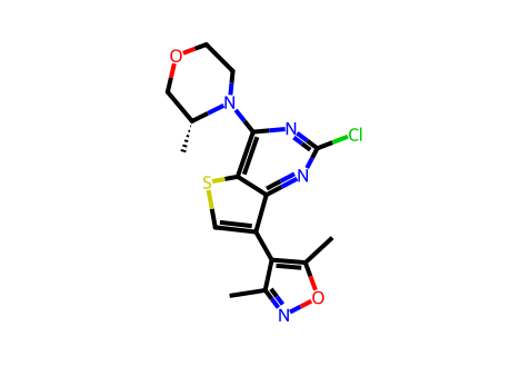 Cc1noc(C)c1-c1csc2c(N3CCOC[C@H]3C)nc(Cl)nc12